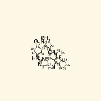 CN1CCC(N(C)C(=O)c2ccc(Nc3ncc4c(n3)-c3ccc(CI)cc3C(c3ccccc3F)=NC4)cc2)C1